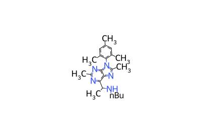 CCCCNC(C)c1nc(C)nc2c1nc(C)n2-c1c(C)cc(C)cc1C